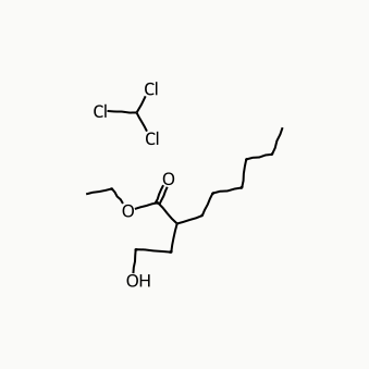 CCCCCCC(CCO)C(=O)OCC.ClC(Cl)Cl